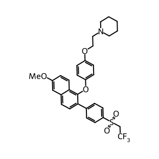 COc1ccc2c(Oc3ccc(OCCN4CCCCC4)cc3)c(-c3ccc(S(=O)(=O)CC(F)(F)F)cc3)ccc2c1